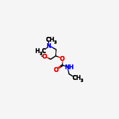 CCNC(=O)OC(C[O])CN(C)C